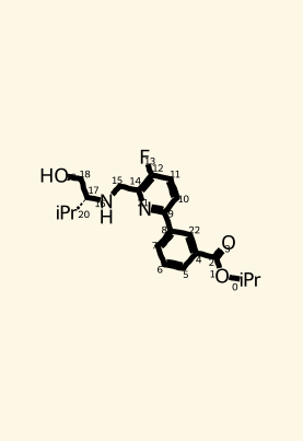 CC(C)OC(=O)c1cccc(-c2ccc(F)c(CN[C@@H](CO)C(C)C)n2)c1